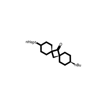 CCCCCCCC1CC[C@]2(CC1)C[C@@]1(CC[C@H](CCCC)CC1)C2=O